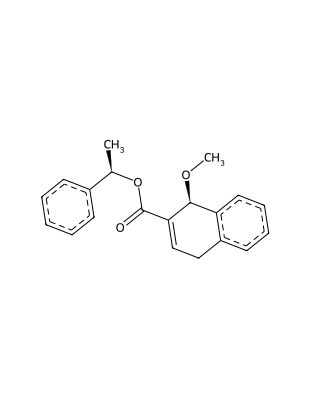 CO[C@@H]1C(C(=O)O[C@H](C)c2ccccc2)=CCc2ccccc21